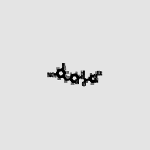 CCn1cc(C(=O)Nc2ccc(Cc3cc(F)cc(C#N)c3)cn2)cn1